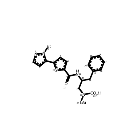 CCn1nccc1-c1ccc(C(=O)NC(Cc2ccccc2)CN(C(=O)O)C(C)(C)C)s1